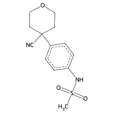 CS(=O)(=O)Nc1ccc(C2(C#N)CCOCC2)cc1